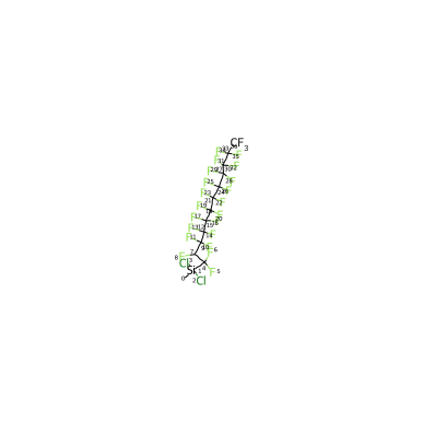 C[Si](Cl)(Cl)C(F)(F)C(F)C(F)(F)C(F)(F)C(F)(F)C(F)(F)C(F)(F)C(F)(F)C(F)(F)C(F)(F)C(F)(F)C(F)(F)F